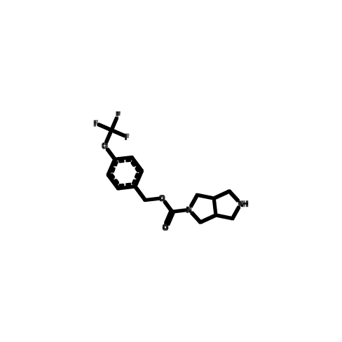 O=C(OCc1ccc(OC(F)(F)F)cc1)N1CC2CNCC2C1